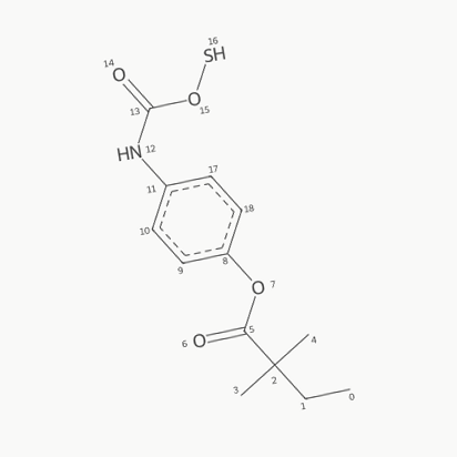 CCC(C)(C)C(=O)Oc1ccc(NC(=O)OS)cc1